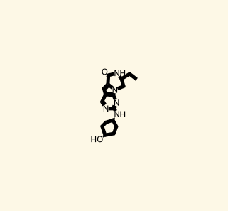 CCC1Cn2c(cc3cnc(N[C@H]4CC[C@H](O)CC4)nc32)C(=O)N1